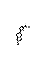 O=C(O)c1ccc(-c2ccc3cc(O)ccc3c2)s1